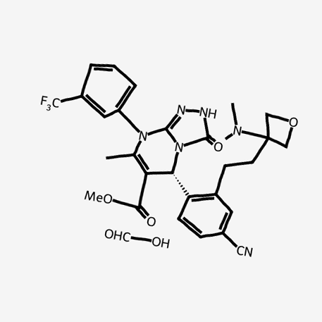 COC(=O)C1=C(C)N(c2cccc(C(F)(F)F)c2)c2n[nH]c(=O)n2[C@@H]1c1ccc(C#N)cc1CCC1(N(C)C)COC1.O=CO